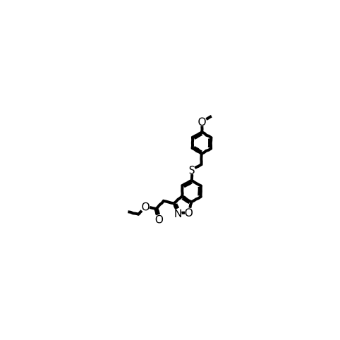 CCOC(=O)Cc1noc2ccc(SCc3ccc(OC)cc3)cc12